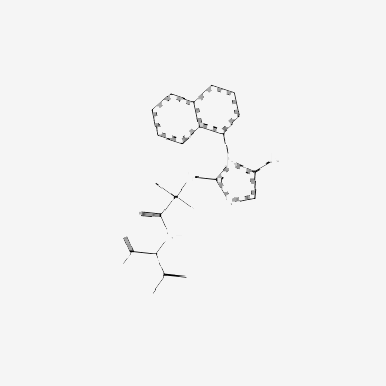 CC(C)C(NC(=O)C(C)(C)Sc1ncc(Br)n1-c1cccc2ccccc12)C(=O)O